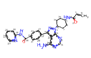 C=CC(=O)NC1CCC(n2nc(-c3ccc(C(=O)Nc4ccccn4)cc3)c3c(N)ncnc32)CC1